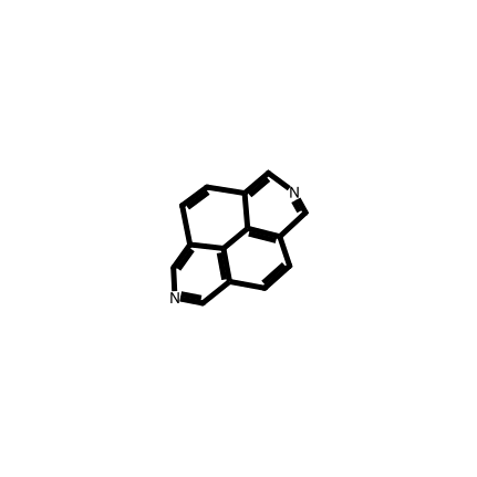 c1cc2cncc3ccc4cncc1c4c23